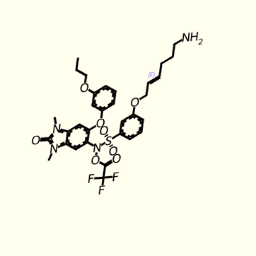 CCCOc1cccc(Oc2cc3c(cc2N(OC(=O)C(F)(F)F)S(=O)(=O)c2cccc(OC/C=C/CCCN)c2)n(C)c(=O)n3C)c1